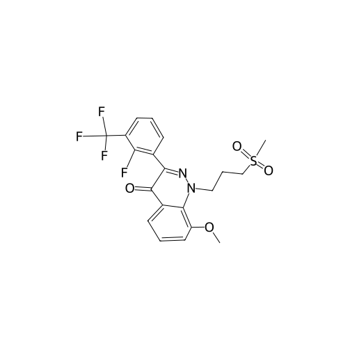 COc1cccc2c(=O)c(-c3cccc(C(F)(F)F)c3F)nn(CCCS(C)(=O)=O)c12